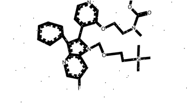 CN(CCOc1cnccc1-c1c(-c2ccccc2)c2ncc(F)cc2n1COCC[Si](C)(C)C)C(=O)OC(C)(C)C